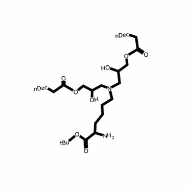 CCCCCCCCCCCC(=O)OCC(O)CN(CCCCC(N)C(=O)OC(C)(C)C)CC(O)COC(=O)CCCCCCCCCCC